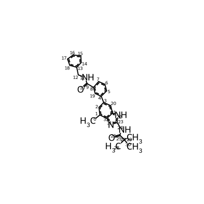 Cc1cc(-c2cccc(C(=O)NCc3ccccc3)c2)cc2[nH]c(NC(=O)C(C)(C)C)nc12